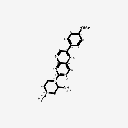 COc1ccc(-c2cnc3nc(N4CCN(C)CC4N)ncc3n2)cc1